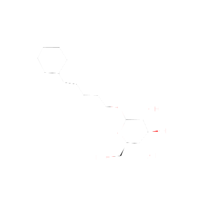 OC[C@H]1OC(OCCCCCC2CCCCC2)[C@H](O)[C@@H](O)[C@@H]1O